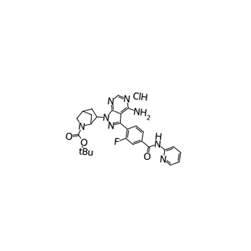 CC(C)(C)OC(=O)N1CC2CC1C(n1nc(-c3ccc(C(=O)Nc4ccccn4)cc3F)c3c(N)ncnc31)C2.Cl